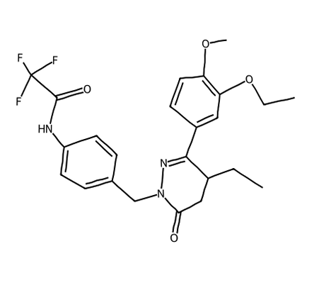 CCOc1cc(C2=NN(Cc3ccc(NC(=O)C(F)(F)F)cc3)C(=O)CC2CC)ccc1OC